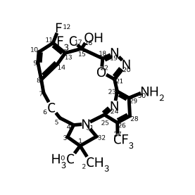 CC1(C)CC2CCCc3ccc(F)c(c3)C(O)(C(F)(F)F)c3nnc(o3)-c3nc(c(C(F)(F)F)cc3N)N2C1